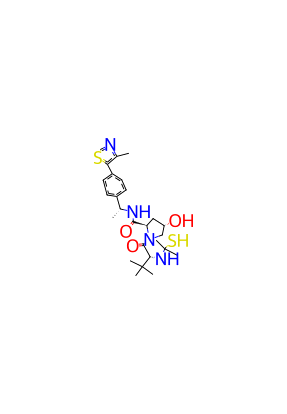 Cc1ncsc1-c1ccc([C@@H](C)NC(=O)[C@H]2C[C@H](O)CN2C(=O)[C@H](NC(C)(C)S)C(C)(C)C)cc1